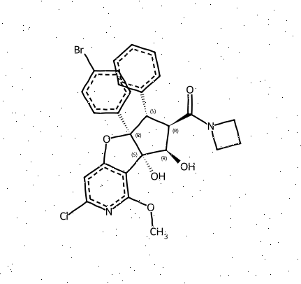 COc1nc(Cl)cc2c1[C@]1(O)[C@H](O)[C@H](C(=O)N3CCC3)[C@@H](c3ccccc3)[C@]1(c1ccc(Br)cc1)O2